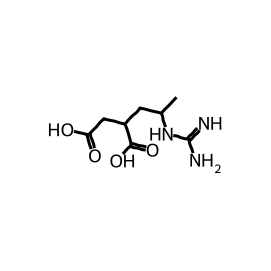 CC(CC(CC(=O)O)C(=O)O)NC(=N)N